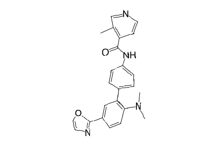 Cc1cnccc1C(=O)Nc1ccc(-c2cc(-c3ncco3)ccc2N(C)C)cc1